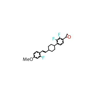 COc1ccc(/C=C/C2CCC(c3ccc(C4CO4)c(F)c3F)CC2)c(F)c1